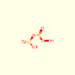 O=[PH](O)O[PH](=O)OO